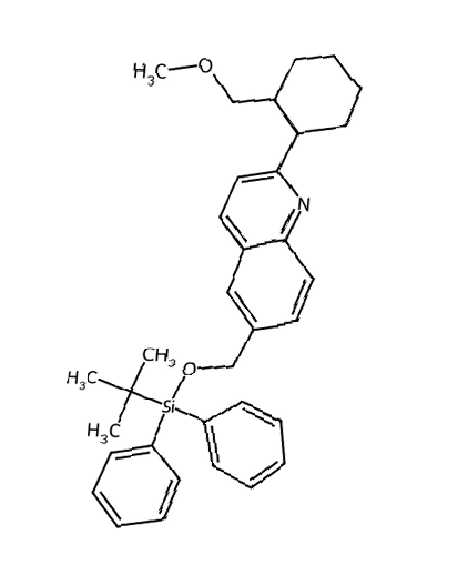 COCC1CCCCC1c1ccc2cc(CO[Si](c3ccccc3)(c3ccccc3)C(C)(C)C)ccc2n1